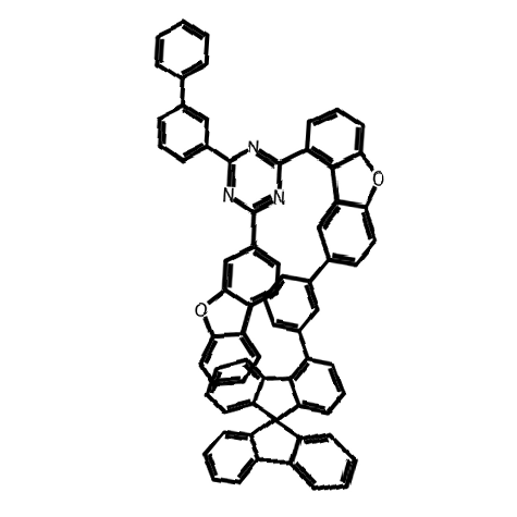 c1ccc(-c2cccc(-c3nc(-c4ccc5c(c4)oc4ccccc45)nc(-c4cccc5oc6ccc(-c7cccc(-c8cccc9c8-c8ccccc8C98c9ccccc9-c9ccccc98)c7)cc6c45)n3)c2)cc1